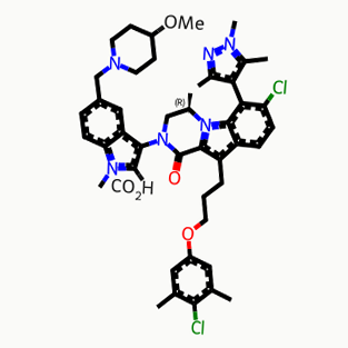 COC1CCN(Cc2ccc3c(c2)c(N2C[C@@H](C)n4c(c(CCCOc5cc(C)c(Cl)c(C)c5)c5ccc(Cl)c(-c6c(C)nn(C)c6C)c54)C2=O)c(C(=O)O)n3C)CC1